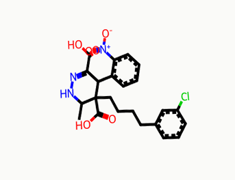 CC1NN=C(C(=O)O)C(c2ccccc2[N+](=O)[O-])C1(CCCCc1cccc(Cl)c1)C(=O)O